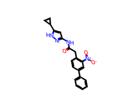 O=C(Cc1ccc(-c2ccccc2)cc1[N+](=O)[O-])Nc1cc(C2CC2)[nH]n1